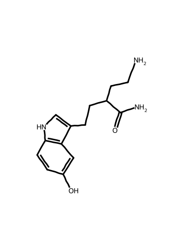 NCCC(CCc1c[nH]c2ccc(O)cc12)C(N)=O